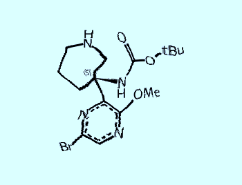 COc1ncc(Br)nc1[C@]1(NC(=O)OC(C)(C)C)CCCNC1